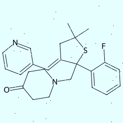 CC1(C)CC(=Cc2cccnc2)C(CN2CCC(=O)CC2)(c2ccccc2F)S1